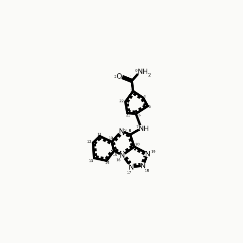 NC(=O)c1ccc(Nc2nc3ccccc3n3nnnc23)cc1